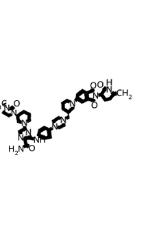 C=C1CCC(N2C(=O)c3ccc(N4CCC[C@H](CN5CCN(c6ccc(Nc7nc(N8CCC[C@@H](N9CCN(C)C9=O)C8)cnc7C(N)=O)cc6)CC5)C4)cc3C2=O)C(=O)N1